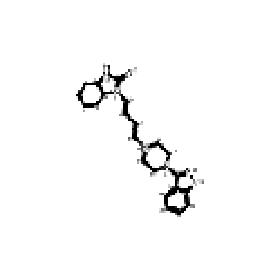 O=C1NC2CCCCC2N1CCCCN1CCN(c2nsc3ccccc23)CC1